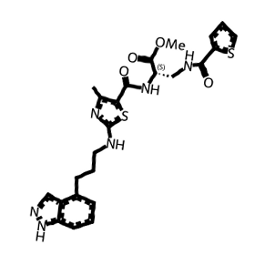 COC(=O)[C@H](CNC(=O)c1cccs1)NC(=O)c1sc(NCCCc2cccc3[nH]ncc23)nc1C